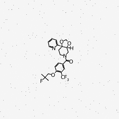 CC(C)(F)COc1ccc(C(=O)N2CC[C@]3(c4ccccn4)OCO[C@@H]3C2)cc1C(F)(F)F